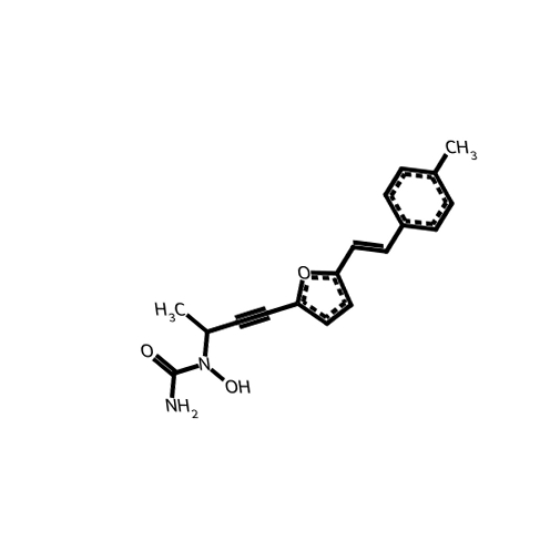 Cc1ccc(C=Cc2ccc(C#CC(C)N(O)C(N)=O)o2)cc1